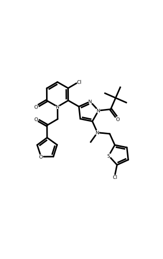 CN(Cc1ccc(Cl)s1)c1cc(-c2c(Cl)ccc(=O)n2CC(=O)c2ccoc2)nn1C(=O)C(C)(C)C